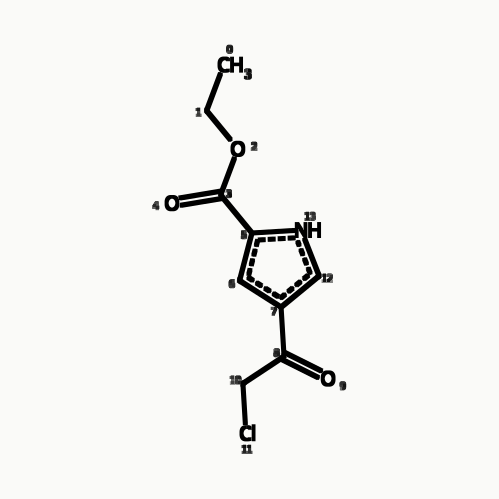 CCOC(=O)c1cc(C(=O)CCl)c[nH]1